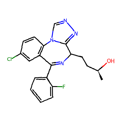 C[C@H](O)CCC1N=C(c2ccccc2F)c2cc(Cl)ccc2-n2cnnc21